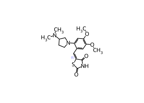 COc1cc(/C=C2/SC(=O)NC2=O)c(N2CCC(N(C)C)C2)cc1OC